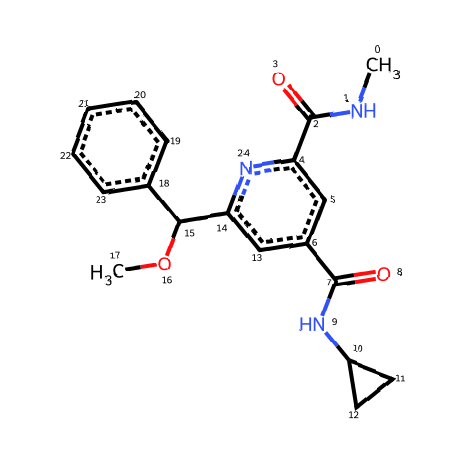 CNC(=O)c1cc(C(=O)NC2CC2)cc(C(OC)c2ccccc2)n1